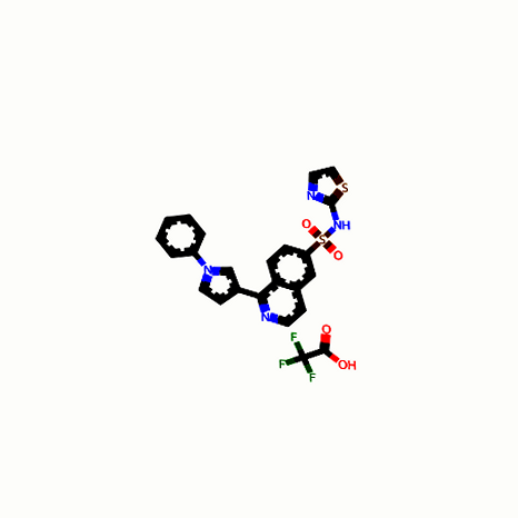 O=C(O)C(F)(F)F.O=S(=O)(Nc1nccs1)c1ccc2c(-c3ccn(-c4ccccc4)c3)nccc2c1